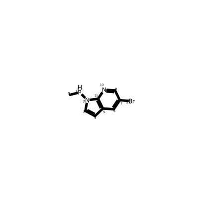 CPn1ccc2cc(Br)cnc21